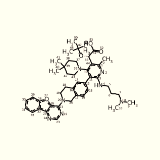 Cc1nc(NCCCN(C)C)c(-c2ccc3c(c2)CCN(c2ncnc4c2oc2ccccc24)C3)c(N2CCC(C)(C)CC2)c1[C@H](OC(C)(C)C)C(=O)O